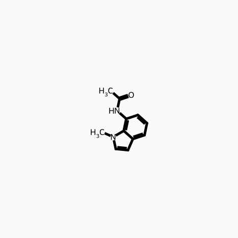 CC(=O)Nc1cccc2ccn(C)c12